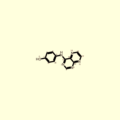 Oc1ccc(Nc2ncnc3nccnc23)cc1